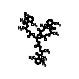 CC(CC(=O)C1C(C)C=CCC1(C)C)SCC(=O)OCC(COC(=O)CS)(COC(=O)CSC(C)CC(=O)C1C(C)C=CCC1(C)C)COC(=O)CSC(C)CC(=O)C1C(C)C=CCC1(C)C